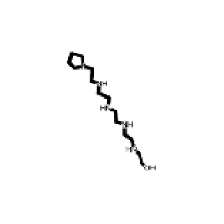 OCCNCCNCCNCCNCCN1CCCC1